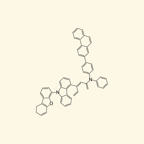 C=C/C(=C\C(=C)N(c1ccccc1)c1ccc(-c2ccc3c(ccc4ccccc43)c2)cc1)c1cccc2c1c1ccccc1n2-c1cccc2c3c(oc12)C=CCC3